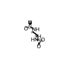 O=[SH](=O)NCCN[SH](=O)=O